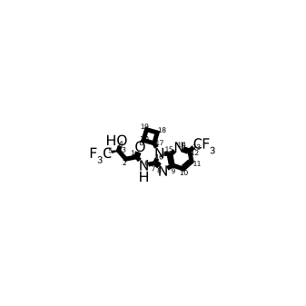 O=C(C[C@H](O)C(F)(F)F)Nc1nc2ccc(C(F)(F)F)nc2n1C1CCC1